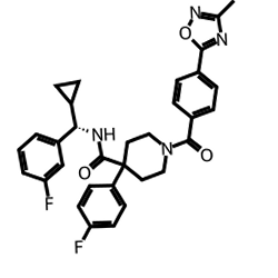 Cc1noc(-c2ccc(C(=O)N3CCC(C(=O)N[C@H](c4cccc(F)c4)C4CC4)(c4ccc(F)cc4)CC3)cc2)n1